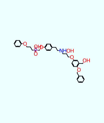 O=P(O)(CCCOc1ccccc1)COc1ccc(CCNC[C@H](O)COc2ccc(OCc3ccccc3)c(CO)c2)cc1